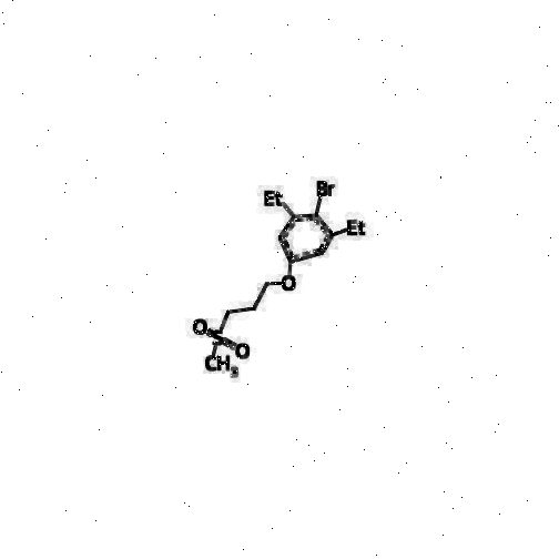 CCc1cc(OCCCS(C)(=O)=O)cc(CC)c1Br